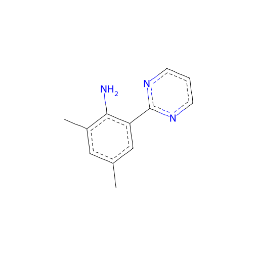 Cc1cc(C)c(N)c(-c2ncccn2)c1